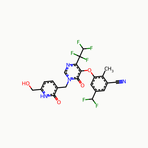 Cc1c(C#N)cc(C(F)F)cc1Oc1c(C(F)(F)C(F)F)ncn(Cc2ccc(CO)[nH]c2=O)c1=O